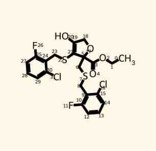 CCOC(=O)C1(CSCc2c(F)cccc2Cl)OCC(O)=C1SCc1c(F)cccc1Cl